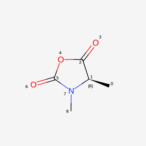 C[C@@H]1C(=O)OC(=O)N1C